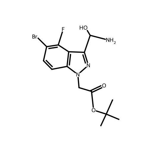 CC(C)(C)OC(=O)Cn1nc(C(N)O)c2c(F)c(Br)ccc21